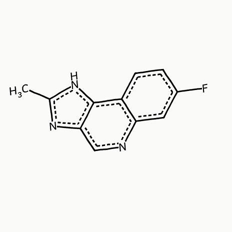 Cc1nc2cnc3cc(F)ccc3c2[nH]1